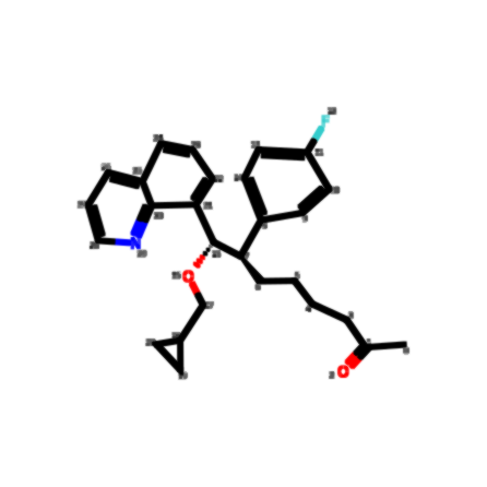 CC(=O)CCCC[C@H](c1ccc(F)cc1)[C@H](OCC1CC1)c1cccc2cccnc12